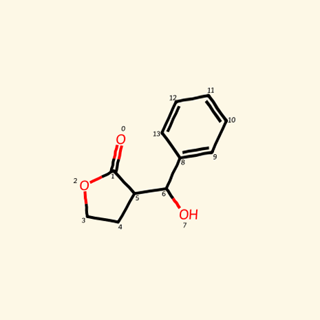 O=C1OCCC1C(O)c1ccccc1